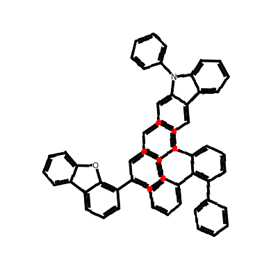 c1ccc(-c2ccccc2-c2c(-c3ccccc3)cccc2N(c2ccc(-c3cccc4c3oc3ccccc34)cc2)c2ccc3c(c2)c2ccccc2n3-c2ccccc2)cc1